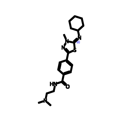 CN(C)CCNC(=O)c1ccc(-c2nn(C)/c(=N\C3CCCCC3)s2)cc1